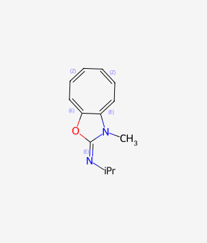 CC(C)/N=c1/oc2/c(n1C)=C\C=C/C=C\C=2